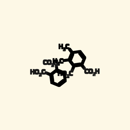 Cc1ccc(C(=O)O)c(C(=O)O)c1C.O=C(O)c1ccccc1C(=O)O